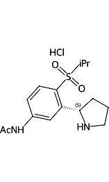 CC(=O)Nc1ccc(S(=O)(=O)C(C)C)c([C@@H]2CCCN2)c1.Cl